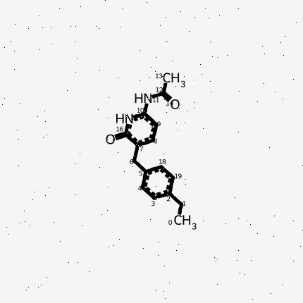 CCc1ccc(Cc2ccc(NC(C)=O)[nH]c2=O)cc1